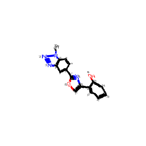 CC(C)n1nnc2cc(-c3nc(-c4ccccc4O)co3)ccc21